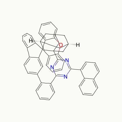 c1ccc2c(c1)Oc1ccccc1C21c2ccccc2-c2ccc(-c3ccccc3-c3nc(-c4cccc5ccccc45)nc(C45CC6C[C@H](C4)C[C@@H](C6)C5)n3)cc21